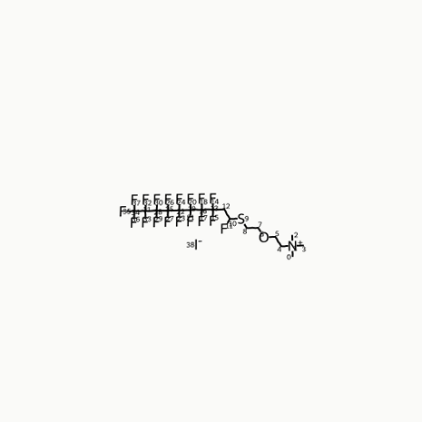 C[N+](C)(C)CCOCCSC(F)CC(F)(F)C(F)(F)C(F)(F)C(F)(F)C(F)(F)C(F)(F)C(F)(F)C(F)(F)F.[I-]